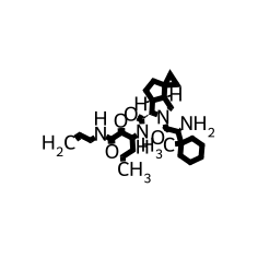 C=CCNC(=O)C(=O)C(CCC)NC(=O)[C@@H]1[C@H]2CCC3(CC3)[C@H]2CN1C(=O)[C@@H](N)C1(C)CCCCC1